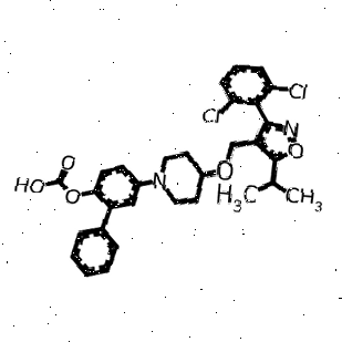 CC(C)c1onc(-c2c(Cl)cccc2Cl)c1COC1CCN(c2ccc(OC(=O)O)c(-c3ccccc3)c2)CC1